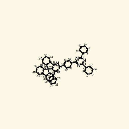 c1ccc(-c2nc(-c3ccccc3)nc(-c3ccc(-c4nc(-c5ccccc5)c5c(n4)-c4ccccc4C54c5ccccc5-c5ccccc54)cc3)n2)cc1